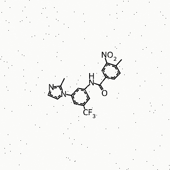 Cc1ccc(C(=O)Nc2cc(-n3ccnc3C)cc(C(F)(F)F)c2)cc1[N+](=O)[O-]